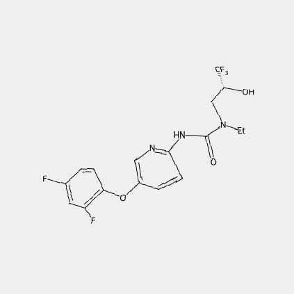 CCN(C[C@@H](O)C(F)(F)F)C(=O)Nc1ccc(Oc2ccc(F)cc2F)cn1